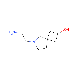 NCCN1CCC2(CC(O)C2)C1